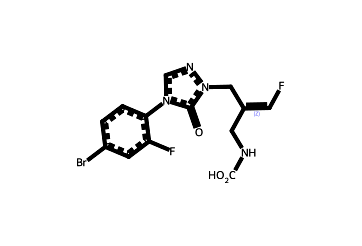 O=C(O)NC/C(=C/F)Cn1ncn(-c2ccc(Br)cc2F)c1=O